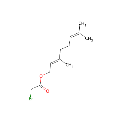 CC(C)=CCC/C(C)=C/COC(=O)CBr